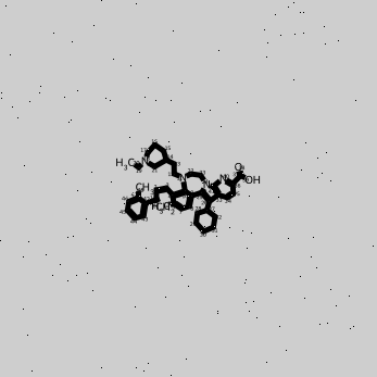 C=C(/C=C\c1c(C)ccc2c1N(CCC1CCCN(CC)C1)CCn1c-2c(C2CCCCC2)c2ccc(C(=O)O)nc21)c1ccccc1C